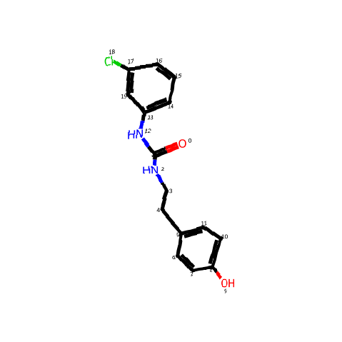 O=C(NCCc1ccc(O)cc1)Nc1cccc(Cl)c1